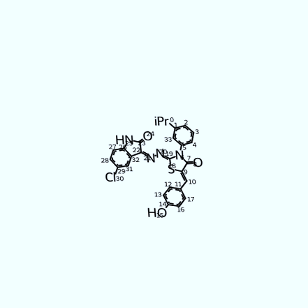 CC(C)c1cccc(N2C(=O)C(=Cc3ccc(O)cc3)SC2=NN=C2C(=O)Nc3ccc(Cl)cc32)c1